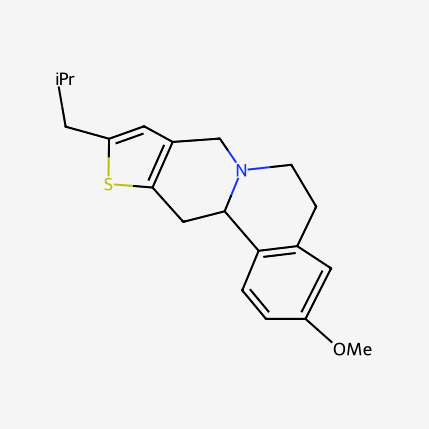 COc1ccc2c(c1)CCN1Cc3cc(CC(C)C)sc3CC21